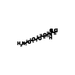 NCCOCCOCCOCCOCCNC(=O)CCl